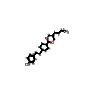 C=CCCC1COC(C2CCC(CCc3ccc(Cl)cc3)CC2)OC1